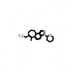 CC1=C(CC(F)(F)F)CCCc2c1ccc1c2cnn1C1CCCCO1